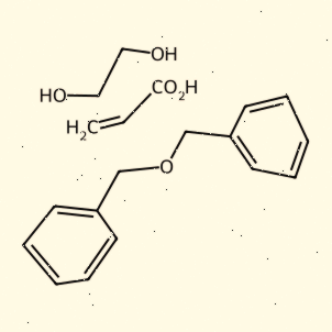 C=CC(=O)O.OCCO.c1ccc(COCc2ccccc2)cc1